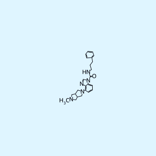 CN1CC2CN(c3cccc4c3ncn4C(=O)NCCCc3ccccc3)CC2C1